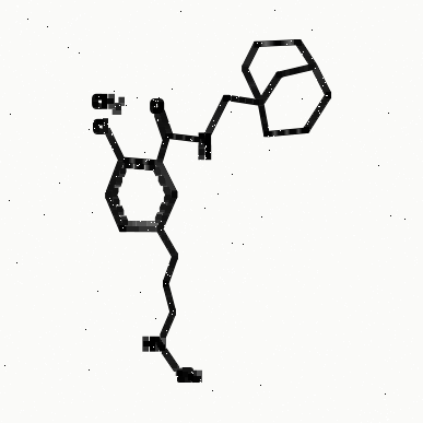 CC(C)(C)NCCCc1ccc(Cl)c(C(=O)NCC23CCCC(CCC2)C3)c1.[CH2]